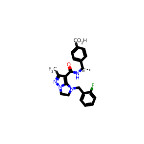 C[C@H](NC(=O)c1c(C(F)(F)F)nn2c1N(Cc1ccccc1F)CC2)c1ccc(C(=O)O)cc1